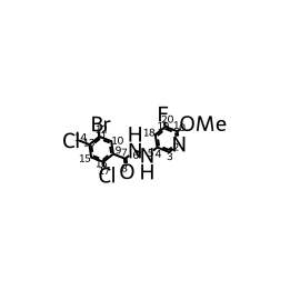 COc1ncc(NNC(=O)c2cc(Br)c(Cl)cc2Cl)cc1F